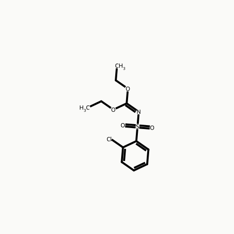 CCOC(=NS(=O)(=O)c1ccccc1Cl)OCC